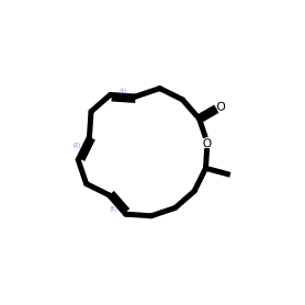 CC1CCC/C=C/C/C=C/C/C=C/CCC(=O)O1